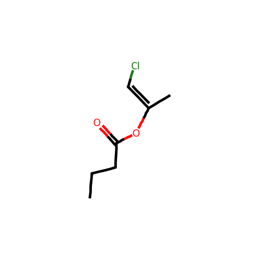 CCCC(=O)OC(C)=CCl